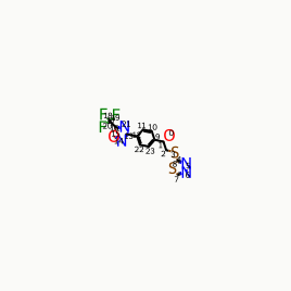 O=C(CSc1nncs1)c1ccc(-c2noc(C(F)(F)F)n2)cc1